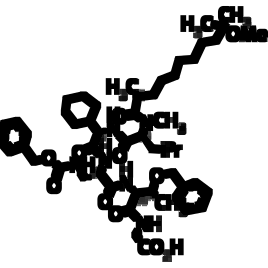 COC(C)(C)CCCCCCC[C@@H](C)C(=O)N(C)[C@@H](CC(C)C)C(=O)N[C@H](C(=O)N[C@@H](CNC(=O)OCc1ccccc1)C(=O)N[C@H](C(=O)NCC(=O)O)[C@H](C)OCc1ccccc1)C1CCCCC1